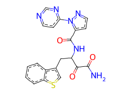 NC(=O)C(=O)C(Cc1csc2ccccc12)NC(=O)c1ccnn1-c1ccncn1